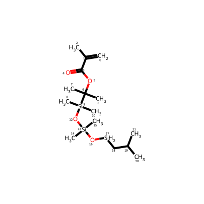 C=C(C)C(=O)OC(C)(C)[Si](C)(C)O[Si](C)(C)O[SiH2]CC(C)C